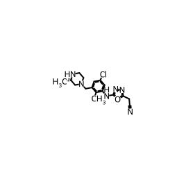 Cc1c(CN2CCN[C@@H](C)C2)cc(Cl)cc1Nc1nnc(CC#N)o1